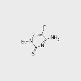 CCn1cc(F)c(N)nc1=S